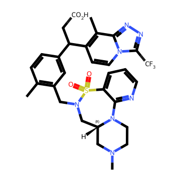 Cc1ccc(C(CC(=O)O)c2ccn3c(C(F)(F)F)nnc3c2C)cc1CN1C[C@H]2CN(C)CCN2c2ncccc2S1(=O)=O